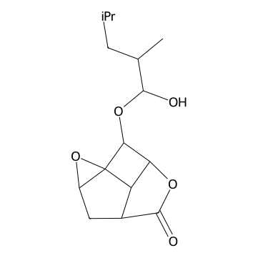 CC(C)CC(C)C(O)OC1C2OC(=O)C3CC4OC41C32